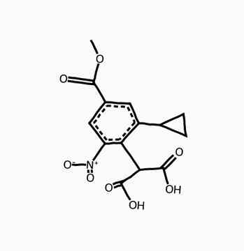 COC(=O)c1cc(C2CC2)c(C(C(=O)O)C(=O)O)c([N+](=O)[O-])c1